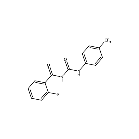 O=C(NC(=O)c1ccccc1F)Nc1ccc(C(F)(F)F)cc1